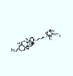 CCCON(C/C=C/C=C/[C@H]1CC[C@]2(O)[C@@H]3CC[C@@H]4C[C@@H](O)CC[C@]4(C)[C@H]3CC[C@]12C)NC(=N)N